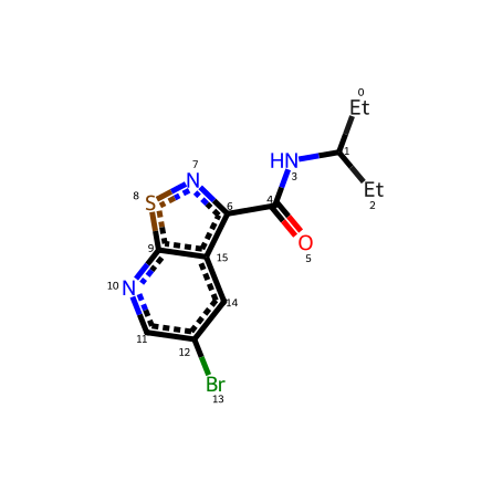 CCC(CC)NC(=O)c1nsc2ncc(Br)cc12